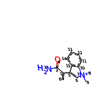 C=C(C(N)=O)C1=C[N+](C)(C)c2ccccc21